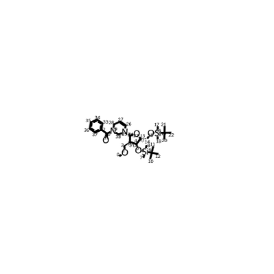 COC[C@@H]1[C@H](O[Si](C)(C)C(C)(C)C)[C@@H](CO[Si](C)(C)C(C)(C)C)O[C@H]1N1C=CCN(C(=O)c2ccccc2)C1